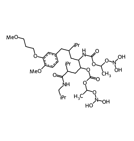 COCCCOc1cc(CC(CC(NC(=O)OC(C)ON(O)O)C(CC(C(=O)NCC(C)C)C(C)C)OC(=O)OC(C)ON(O)O)C(C)C)ccc1OC